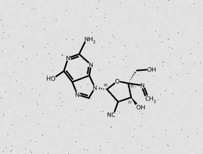 C=N[C@]1(CO)O[C@@H](n2cnc3c(O)nc(N)nc32)C(C#N)[C@@H]1O